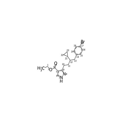 CCOC(=O)c1c[nH]nc1CCC(Cc1ccc(Br)cc1)C1CC1